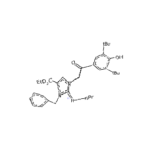 CCC/N=c1\n(CC(=O)c2cc(C(C)(C)C)c(O)c(C(C)(C)C)c2)cc(C(=O)OCC)n1Cc1ccccc1